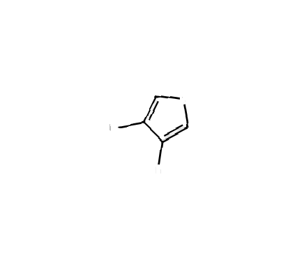 [Li][c]1csc[c]1[Li]